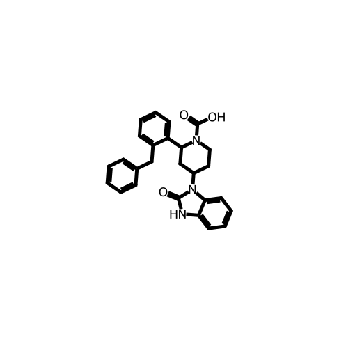 O=C(O)N1CCC(n2c(=O)[nH]c3ccccc32)CC1c1ccccc1Cc1ccccc1